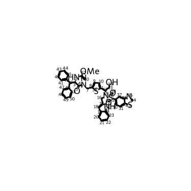 C=C(N[C@H](C(=O)NCc1ccc(C(CO)N(Cc2cc3ccccc3[nH]2)S(=O)(=O)c2ccc3scnc3c2)s1)C(c1ccccc1)c1ccccc1)OC